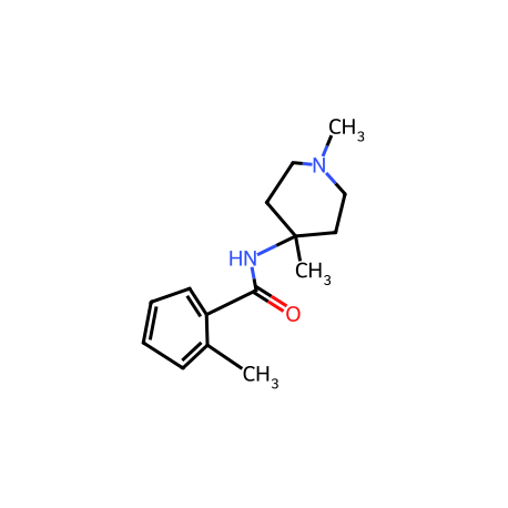 Cc1ccccc1C(=O)NC1(C)CCN(C)CC1